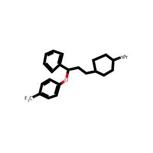 CCCC1CCC(CCC(Oc2ccc(C(F)(F)F)cc2)c2ccccc2)CC1